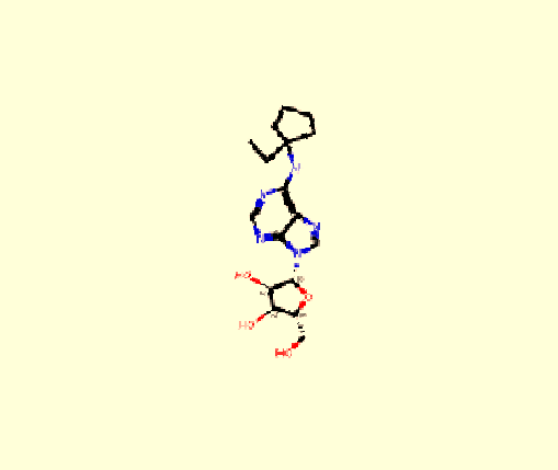 CCC1(Nc2ncnc3c2ncn3[C@@H]2O[C@H](CO)[C@@H](O)[C@H]2O)CCCC1